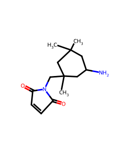 CC1(C)CC(N)CC(C)(CN2C(=O)C=CC2=O)C1